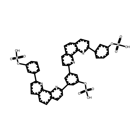 O=S(=O)(O)Oc1cccc(-c2ccc3ccc4ccc(-c5cc(OS(=O)(=O)O)cc(-c6ccc7ccc8ccc(-c9cccc(OS(=O)(=O)O)c9)nc8c7n6)c5)nc4c3n2)c1